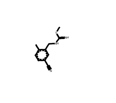 CSC(=N)NCc1cc(C#N)ccc1C